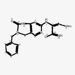 CN/C=C(/Nc1ncc2c(n1)NC(=O)N(Cc1ccccc1)C2)C(=N)Cl